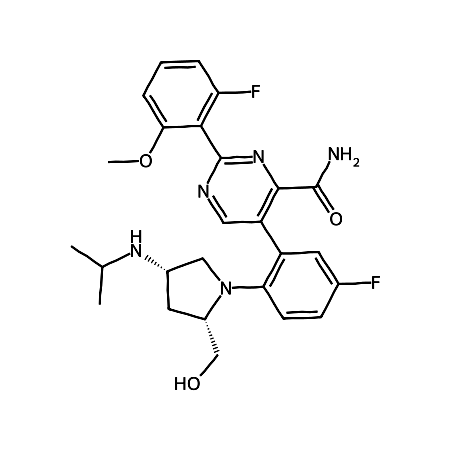 COc1cccc(F)c1-c1ncc(-c2cc(F)ccc2N2C[C@@H](NC(C)C)C[C@H]2CO)c(C(N)=O)n1